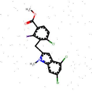 COC(=O)c1ccc(Cl)c(Cc2cc3c(Cl)cc(Br)cc3n2C)c1I